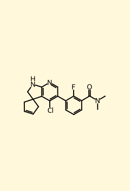 CN(C)C(=O)c1cccc(-c2cnc3c(c2Cl)C2(CC=CC2)CN3)c1F